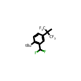 CC(C)(C)c1ccc(C(C)(C(F)(F)F)C(F)(F)F)cc1C(F)F